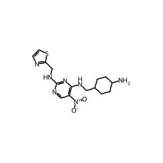 NC1CCC(CNc2nc(NCc3nccs3)ncc2[N+](=O)[O-])CC1